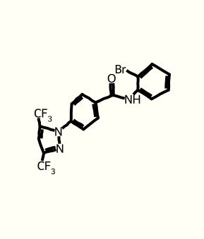 O=C(Nc1ccccc1Br)c1ccc(-n2nc(C(F)(F)F)cc2C(F)(F)F)cc1